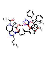 CCCc1nc2c(n1-c1ccc(-c3ccccc3-c3nnnn3C(c3ccccc3)(c3ccccc3)c3ccccc3)cc1)C(C)(C(=O)OCOC(=O)OC(CC)CC)N(C(C)=O)CC2